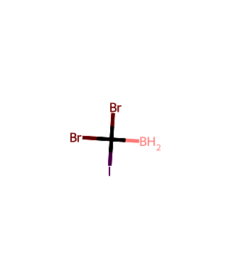 BC(Br)(Br)I